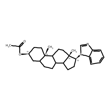 CC(=O)O[C@H]1CC[C@@]2(C)C(CCC3C2CC[C@@]2(C)C3CC[C@@H]2n2cnc3ccccc32)C1